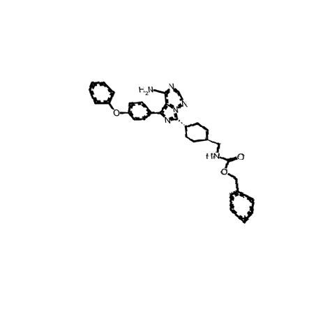 Nc1ncnn2c1c(-c1ccc(Oc3ccccc3)cc1)nc2[C@H]1CC[C@H](CNC(=O)OCc2ccccc2)CC1